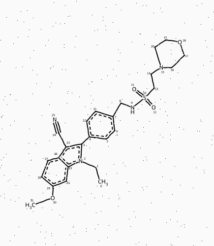 CCn1c(-c2ccc(CNS(=O)(=O)CCN3CCOCC3)cc2)c(C#N)c2ccc(OC)cc21